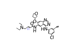 C#Cc1cc(Cl)cc(Nc2ncnc3cc(OC4CCOC4)c(NC(=O)/C=C/CN(CC)CC)cc23)c1